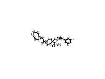 COCC1(CN[C@@H]2CC2c2ccccc2)CCN(C(=O)CN2CCOCC2)CC1